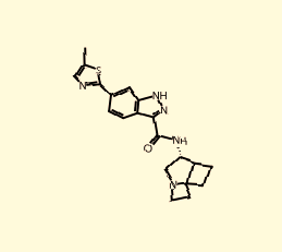 Cc1cnc(-c2ccc3c(C(=O)N[C@H]4CN5CCC56CCC46)n[nH]c3c2)s1